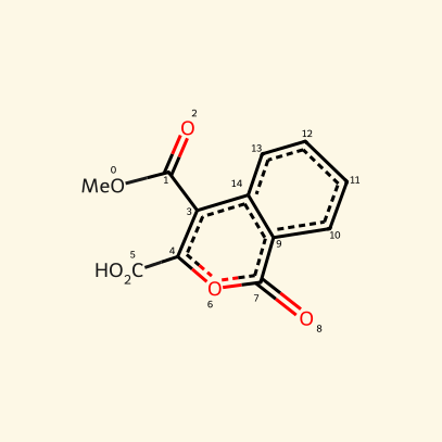 COC(=O)c1c(C(=O)O)oc(=O)c2ccccc12